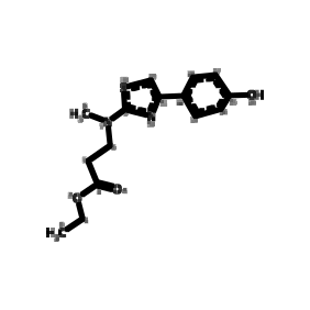 CCOC(=O)CCN(C)c1nc(-c2ccc(O)cc2)cs1